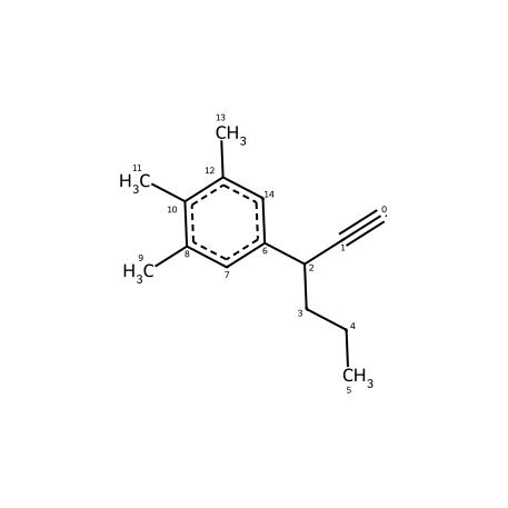 [C]#CC(CCC)c1cc(C)c(C)c(C)c1